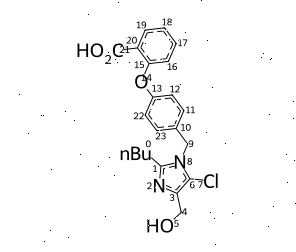 CCCCc1nc(CO)c(Cl)n1Cc1ccc(Oc2ccccc2C(=O)O)cc1